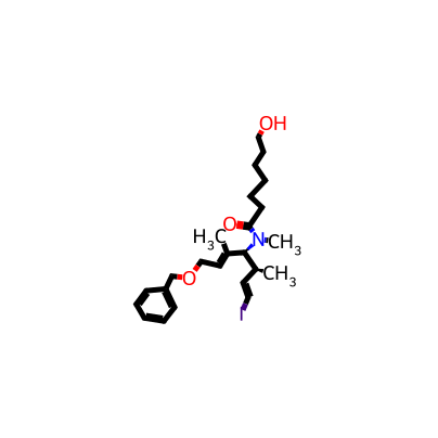 C/C(=C\COCc1ccccc1)[C@H]([C@@H](C)/C=C/I)N(C)C(=O)CCCCCCO